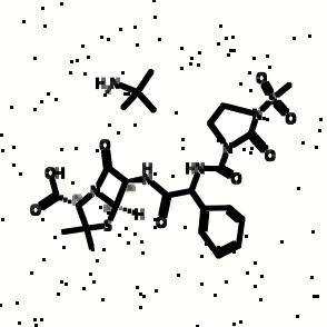 CC(C)(C)N.CC1(C)S[C@@H]2[C@H](NC(=O)C(NC(=O)N3CCN(S(C)(=O)=O)C3=O)c3ccccc3)C(=O)N2[C@H]1C(=O)O